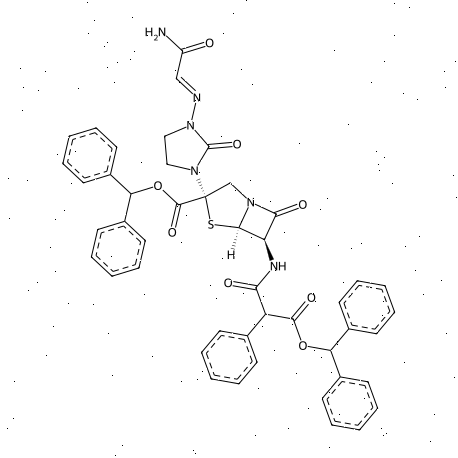 NC(=O)/C=N/N1CCN([C@]2(C(=O)OC(c3ccccc3)c3ccccc3)CN3C(=O)[C@@H](NC(=O)C(C(=O)OC(c4ccccc4)c4ccccc4)c4ccccc4)[C@H]3S2)C1=O